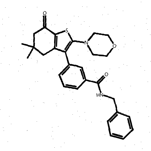 CC1(C)CC(=O)c2sc(N3CCOCC3)c(-c3cccc(C(=O)NCc4ccccc4)c3)c2C1